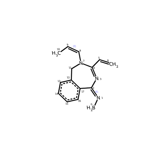 B/N=C1/N=C(C=C)N(/C=C\C)Cc2ccccc21